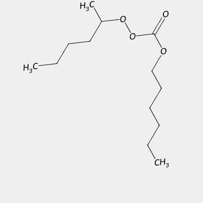 CCCCCCOC(=O)OOC(C)CCCC